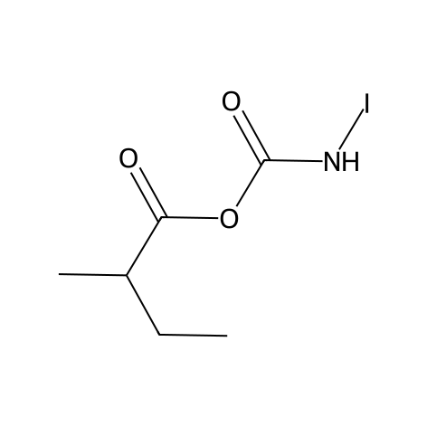 CCC(C)C(=O)OC(=O)NI